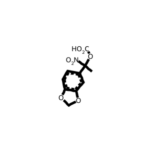 CC(OC(=O)O)(c1ccc2c(c1)OCO2)[N+](=O)[O-]